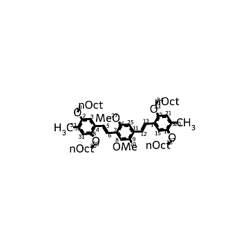 CCCCCCCCOc1cc(/C=C/c2cc(OC)c(/C=C/c3cc(OCCCCCCCC)c(C)cc3OCCCCCCCC)cc2OC)c(OCCCCCCCC)cc1C